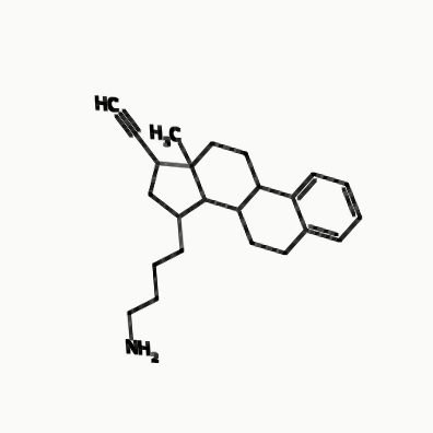 C#CC1CC(CCCCN)C2C3CCc4ccccc4C3CCC12C